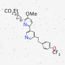 CCOC(=O)[C@@H]1C[C@H]1c1nc(-c2cncc(CCc3ccc(OC(F)(F)F)cc3)c2)ccc1OC